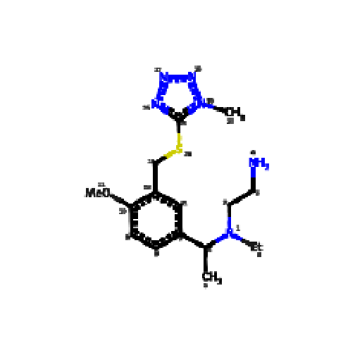 CCN(CCN)C(C)c1ccc(OC)c(CSc2nnnn2C)c1